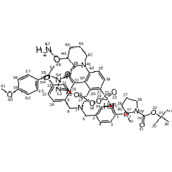 COc1ccc(CN(Cc2ccc(OC)cc2)S(=O)(=O)c2c(S(=O)(=O)N[C@@H]3CCN(C(=O)OC(C)(C)C)C3)ccc(N3CCCC(ON)C3=O)c2-c2nnn(Cc3ccc(OC)cc3)n2)cc1